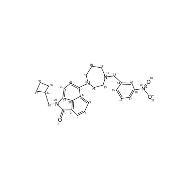 O=C1c2cccc3c(N4CCCN(Cc5cccc([N+](=O)[O-])c5)CC4)ccc(c23)N1CC1CCC1